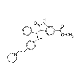 COC(=O)c1ccc2c(c1)NC(=O)C2=C(Nc1ccc(CCN2CCCCC2)cc1)c1ccccc1